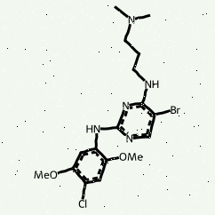 COc1cc(Nc2ncc(Br)c(NCCCN(C)C)n2)c(OC)cc1Cl